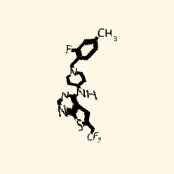 Cc1ccc(CN2CCC(Nc3ncnc4sc(CC(F)(F)F)cc34)CC2)c(F)c1